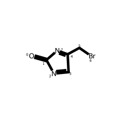 O=C1N=CC(CBr)=N1